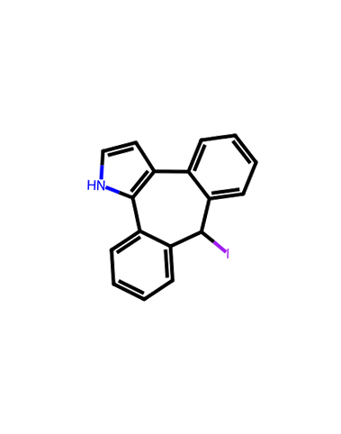 IC1c2ccccc2-c2cc[nH]c2-c2ccccc21